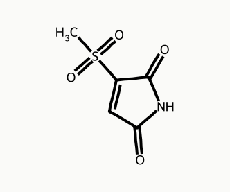 CS(=O)(=O)C1=CC(=O)NC1=O